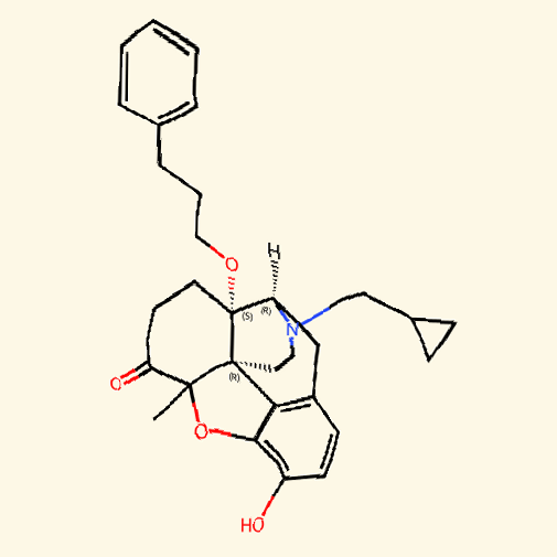 CC12Oc3c(O)ccc4c3[C@@]13CCN(CC1CC1)[C@H](C4)[C@]3(OCCCc1ccccc1)CCC2=O